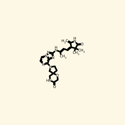 C=C1NC(=O)C(C)(C)/C1=C/C=C(\C)Nc1nc2c(N3CCC4(CNC(=O)CO4)C3)nccn2n1